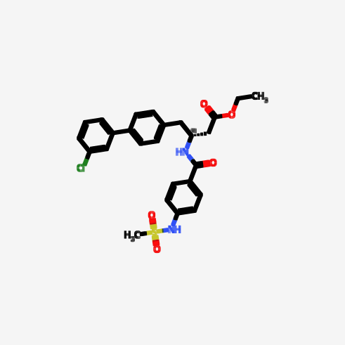 CCOC(=O)C[C@@H](Cc1ccc(-c2cccc(Cl)c2)cc1)NC(=O)c1ccc(NS(C)(=O)=O)cc1